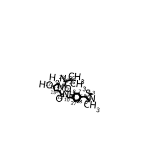 Cc1ncsc1-c1ccc(CNC(=O)C2CC(O)CN2C(=O)C(N)C(C)C)cc1